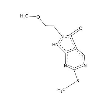 COCCn1[nH]c2nc(SC)ncc2c1=O